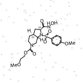 COCCOC(=O)N1CC[C@H]2C[C@@H](C(=O)NO)N(S(=O)(=O)c3ccc(OC)cc3)[C@H]2C1